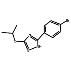 CC(C)Oc1n[nH]c(-c2ccc(Br)cc2)n1